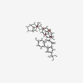 Cc1ccc(CCC(=O)N2C3CCC2CC(Cc2ccc(NC(=O)Nc4cc(C(C)(C)C)nn4-c4ccc(C)cc4)cc2)C3)cc1